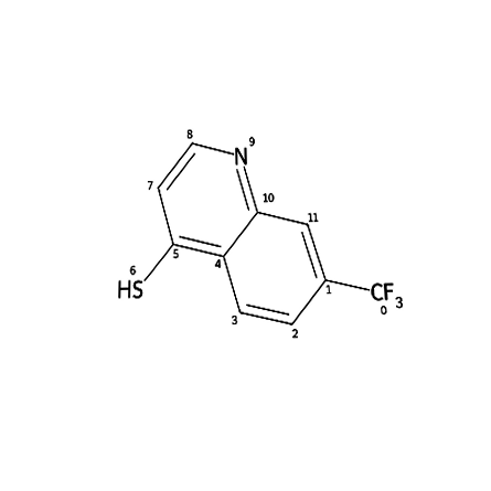 FC(F)(F)c1ccc2c(S)ccnc2c1